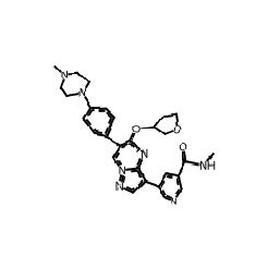 CNC(=O)c1cncc(-c2cnn3cc(-c4ccc(N5CCN(C)CC5)cc4)c(OC4CCOC4)nc23)c1